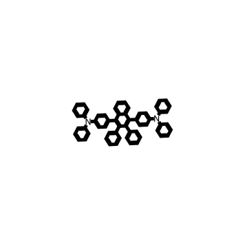 c1ccc(-c2c(-c3ccccc3)c(-c3ccc(N(c4ccccc4)c4ccccc4)cc3)c3ccccc3c2-c2ccc(N(c3ccccc3)c3ccccc3)cc2)cc1